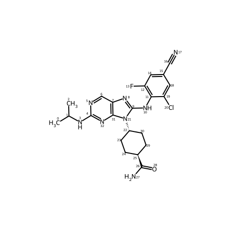 CC(C)Nc1ncc2nc(Nc3c(F)cc(C#N)cc3Cl)n([C@H]3CC[C@H](C(N)=O)CC3)c2n1